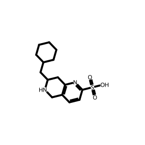 O=S(=O)(O)c1ccc2c(n1)CC(CC1CCCCC1)NC2